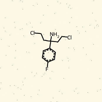 NC(CCCl)(CCCl)c1ccc(F)cc1